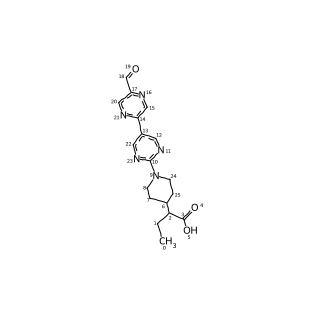 CCC(C(=O)O)C1CCN(c2ncc(-c3cnc(C=O)cn3)cn2)CC1